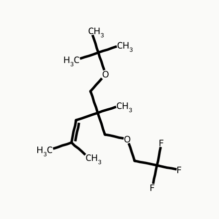 CC(C)=CC(C)(COCC(F)(F)F)COC(C)(C)C